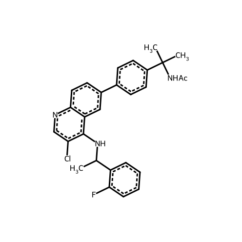 CC(=O)NC(C)(C)c1ccc(-c2ccc3ncc(Cl)c(NC(C)c4ccccc4F)c3c2)cc1